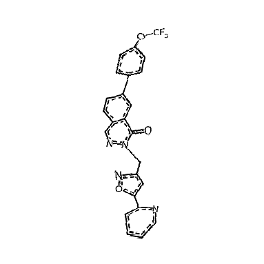 O=c1c2cc(-c3ccc(OC(F)(F)F)cc3)ccc2cnn1Cc1cc(-c2ccccn2)on1